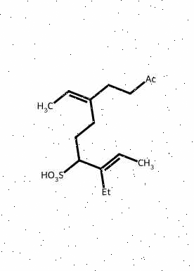 CC=C(CCC(C)=O)CCC(C(=CC)CC)S(=O)(=O)O